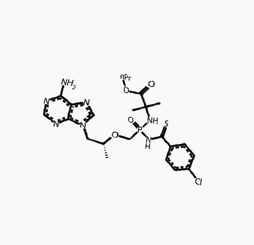 CCCOC(=O)C(C)(C)NP(=O)(CO[C@H](C)Cn1cnc2c(N)ncnc21)NC(=S)c1ccc(Cl)cc1